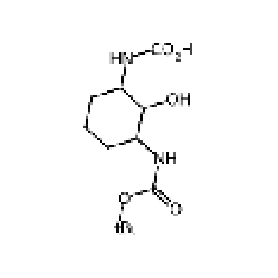 CC(C)(C)OC(=O)NC1CCCC(NC(=O)O)C1O